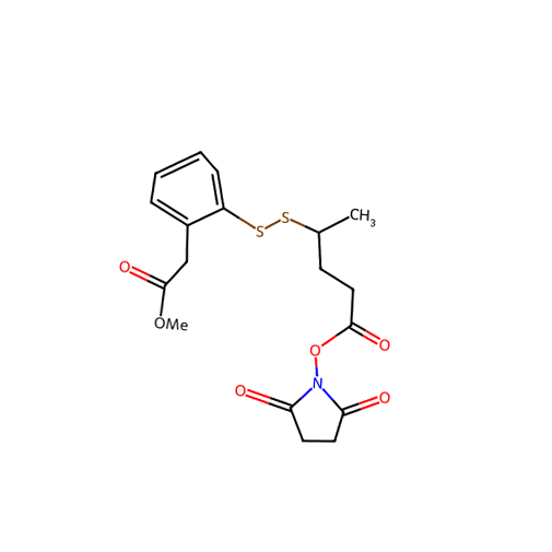 COC(=O)Cc1ccccc1SSC(C)CCC(=O)ON1C(=O)CCC1=O